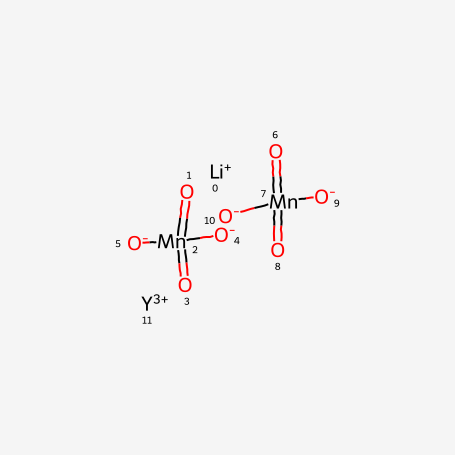 [Li+].[O]=[Mn](=[O])([O-])[O-].[O]=[Mn](=[O])([O-])[O-].[Y+3]